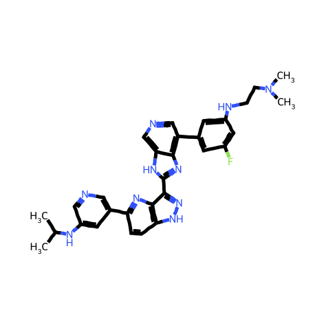 CC(C)Nc1cncc(-c2ccc3[nH]nc(-c4nc5c(-c6cc(F)cc(NCCN(C)C)c6)cncc5[nH]4)c3n2)c1